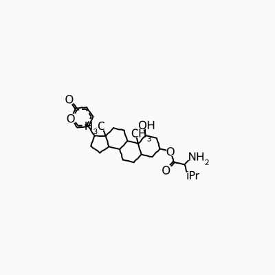 CC(C)C(N)C(=O)OC1CC(O)C2(C)C(CCC3C4CCC(c5ccc(=O)oc5)C4(C)CCC32)C1